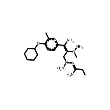 CC/C(N)=N/N(N)C/C(=C(/N)c1ccc(OC2CCCCC2)c(C)n1)N(C)N